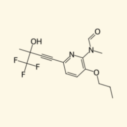 CCCOc1ccc(C#CC(C)(O)C(F)(F)F)nc1N(C)C=O